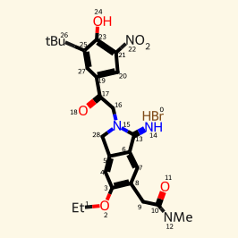 Br.CCOc1cc2c(cc1CC(=O)NC)C(=N)N(CC(=O)c1cc([N+](=O)[O-])c(O)c(C(C)(C)C)c1)C2